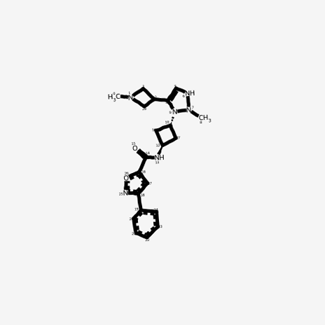 CN1CC(C2=CNN(C)N2[C@H]2C[C@H](NC(=O)c3cc(-c4ccccc4)no3)C2)C1